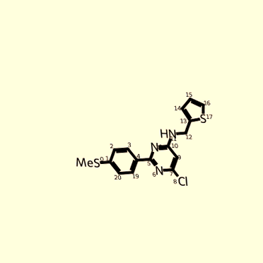 CSc1ccc(-c2nc(Cl)cc(NCc3cccs3)n2)cc1